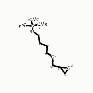 CCC[Si](OC)(OC)OCCCCOCC1CO1